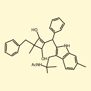 CC(=O)NC(C)(C)Cc1c(C(C2=C(O)C(C)(Cc3ccccc3)C2O)c2ccccc2)[nH]c2cc(C)ccc12